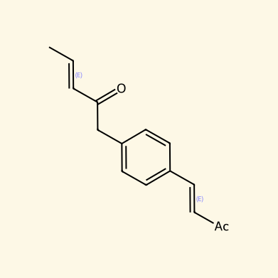 C/C=C/C(=O)Cc1ccc(/C=C/C(C)=O)cc1